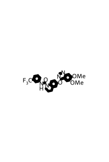 COc1cc2ncnc(Oc3ccc4c(c3)CCCN4C(=O)Nc3cccc(C(F)(F)F)c3)c2cc1OC